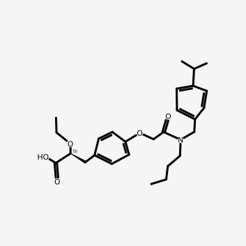 CCCCN(Cc1ccc(C(C)C)cc1)C(=O)COc1ccc(C[C@H](OCC)C(=O)O)cc1